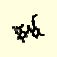 CCC#Cc1cc(C)ccc1C(=O)N1C[C@H]2C[C@H]2[C@H]1C(N)=O